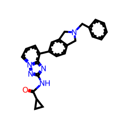 O=C(Nc1nc2c(-c3ccc4c(c3)CN(Cc3ccccc3)C4)cccn2n1)C1CC1